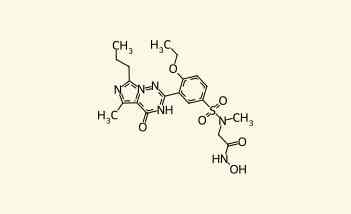 CCCc1nc(C)c2c(=O)[nH]c(-c3cc(S(=O)(=O)N(C)CC(=O)NO)ccc3OCC)nn12